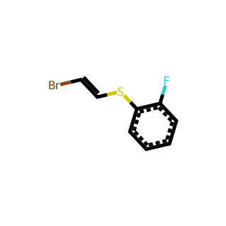 Fc1ccccc1SC=CBr